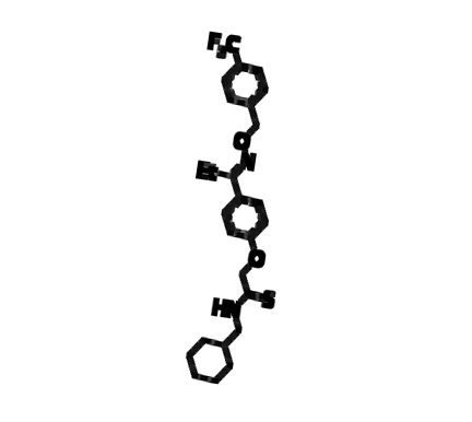 CC/C(=N\OCc1ccc(C(F)(F)F)cc1)c1ccc(OCC(=S)NCC2CCCCC2)cc1